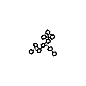 c1ccc(-c2ccc(-n3c4ccc(C5(c6ccccc6)c6ccccc6-c6ccccc65)cc4c4ccc(-c5cccc6c5c5ccccc5n6-c5ccccc5)cc43)cc2)cc1